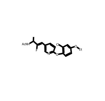 CCOc1ccc(Oc2ccc(/C=C(\F)C(C)NC(C)=O)cn2)c(Cl)c1